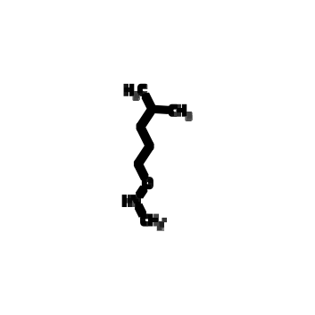 [CH2]NOCCCC(C)C